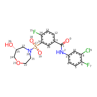 O=C(Nc1ccc(F)c(Cl)c1)c1ccc(F)c(S(=O)(=O)N2CCOC[C@H](O)C2)c1